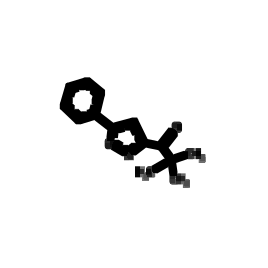 CC(C)(C)C(=O)c1cc(-c2ccccc2)on1